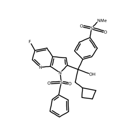 CNS(=O)(=O)c1ccc(C(O)(CC2CCC2)c2cc3cc(F)cnc3n2S(=O)(=O)c2ccccc2)cc1